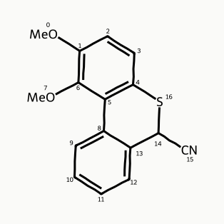 COc1ccc2c(c1OC)-c1ccccc1C(C#N)S2